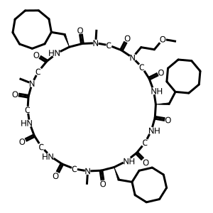 COCCN1CC(=O)N[C@@H](CC2CCCCCCC2)C(=O)NCC(=O)N[C@@H](CC2CCCCCCC2)C(=O)N(C)CC(=O)NCC(=O)NCC(=O)N(C)CC(=O)N[C@@H](CC2CCCCCCCC2)C(=O)N(C)CC1=O